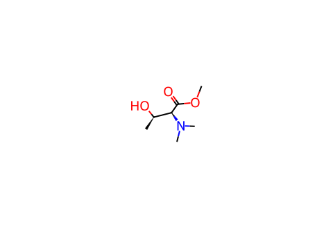 COC(=O)[C@H]([C@@H](C)O)N(C)C